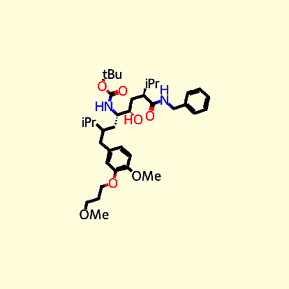 COCCCOc1cc(CC(C[C@H](NC(=O)OC(C)(C)C)[C@@H](O)C[C@H](C(=O)NCc2ccccc2)C(C)C)C(C)C)ccc1OC